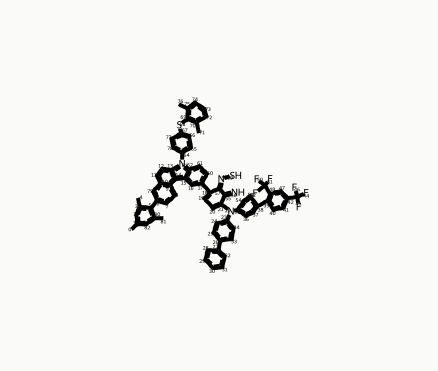 Cc1cc(C)c(-c2ccc3c(ccc4c3c3cc(C5=CC=C(N(c6ccc(-c7ccccc7)cc6)c6ccc(-c7ccc(C(F)(F)F)cc7C(F)(F)F)cc6)C(=N)/C5=N\S)ccc3n4-c3ccc(Sc4c(C)cccc4C)cc3)c2)c(C)c1